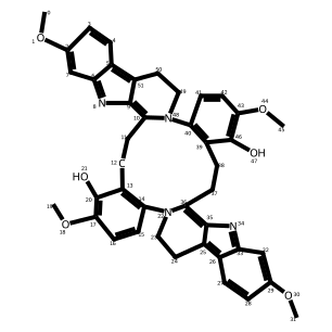 COc1ccc2c(c1)=NC1=C3CCc4c(ccc(OC)c4O)N4CCC5=c6ccc(OC)cc6=NC5=C4CCc4c(ccc(OC)c4O)N3CCC=21